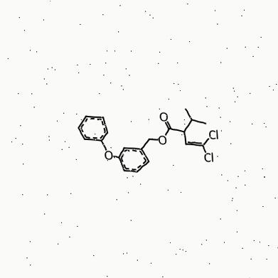 CC(C)C(C=C(Cl)Cl)C(=O)OCc1cccc(Oc2ccccc2)c1